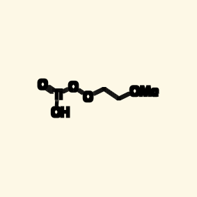 COCCO[O][Ti](=[O])[OH]